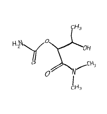 CC(O)C(OC(N)=O)C(=O)N(C)C